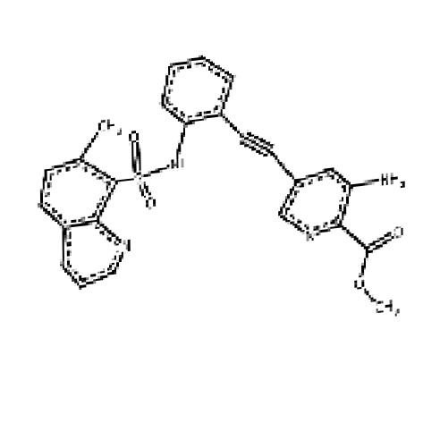 COC(=O)c1ncc(C#Cc2ccccc2NS(=O)(=O)c2c(C)ccc3cccnc23)cc1N